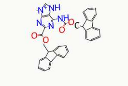 O=C(Nc1nc(C(=O)OCC2c3ccccc3-c3ccccc32)nc2c1NC=[N+]2)OCC1c2ccccc2-c2ccccc21